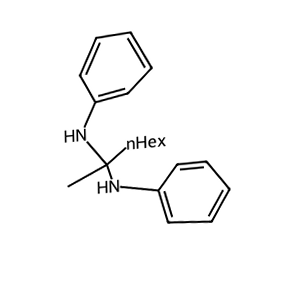 CCCC[CH]CC(C)(Nc1ccccc1)Nc1ccccc1